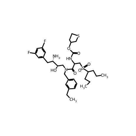 CCCC(CCC)S(=O)(=O)CC(NC(=O)OC1CCSC1)C(=O)N(Cc1cccc(CC)c1)C[C@@H](O)[C@@H](N)Cc1cc(F)cc(F)c1